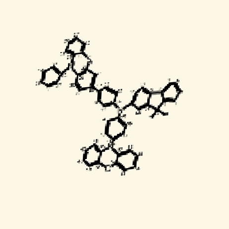 CC1(C)c2ccccc2-c2ccc(N(c3ccc(-c4ccc5c(c4)Sc4ccccc4N5c4ccccc4)cc3)c3ccc(N4c5ccccc5Oc5ccccc54)cc3)cc21